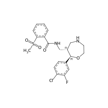 CS(=O)(=O)c1ccccc1C(=O)NC[C@@H]1CNCCO[C@H]1c1ccc(Cl)c(F)c1